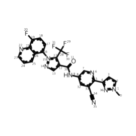 Cn1ccc(-c2ncc(NC(=O)c3cnn(-c4ccc(F)c5ncccc45)c3C(F)(F)F)cc2C#N)n1